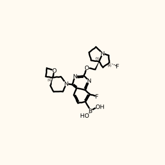 OB(O)c1ccc2c(N3CCC[C@]4(CCO4)C3)nc(OC[C@@]34CCCN3C[C@H](F)C4)nc2c1F